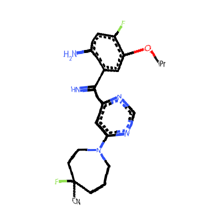 CC(C)Oc1cc(C(=N)c2cc(N3CCCC(F)(C#N)CC3)ncn2)c(N)cc1F